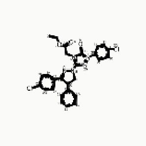 CCOC(=O)Cn1c(N2CC(c3ccccc3)C(c3ccc(Cl)cc3)=N2)nn(-c2ccc(Cl)cc2)c1=O